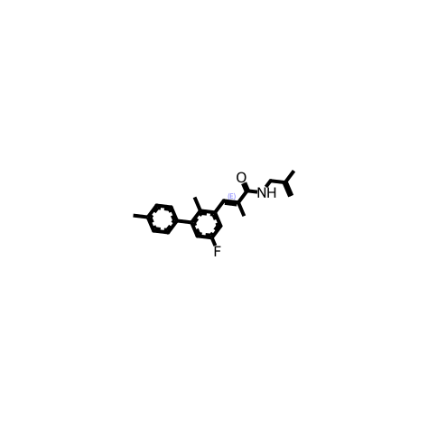 C=C(C)CNC(=O)/C(C)=C/c1cc(F)cc(-c2ccc(C)cc2)c1C